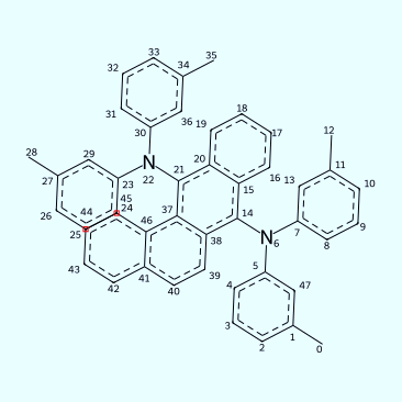 Cc1cccc(N(c2cccc(C)c2)c2c3ccccc3c(N(c3cccc(C)c3)c3cccc(C)c3)c3c2ccc2ccccc23)c1